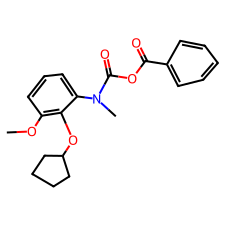 COc1cccc(N(C)C(=O)OC(=O)c2ccccc2)c1OC1CCCC1